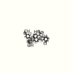 COc1ccc(S(=O)(=O)N(CC(=O)O)c2ccc(N(Cc3ccccc3Cl)[C@@H](C)CC(=O)O)c3ccccc23)cc1